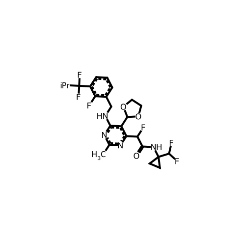 Cc1nc(NCc2cccc(C(F)(F)C(C)C)c2F)c(C2OCCO2)c(C(F)C(=O)NC2(C(F)F)CC2)n1